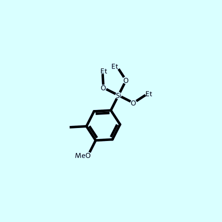 CCO[Si](OCC)(OCC)c1ccc(OC)c(C)c1